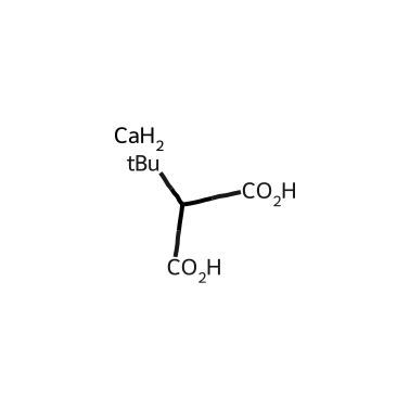 CC(C)(C)C(C(=O)O)C(=O)O.[CaH2]